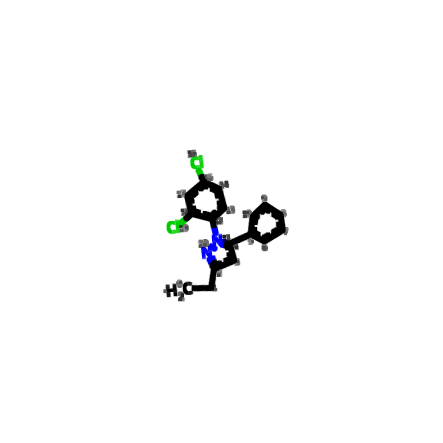 [CH2]Cc1cc(-c2ccccc2)n(-c2ccc(Cl)cc2Cl)n1